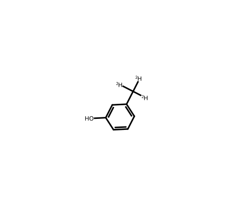 [2H]C([2H])([2H])c1cccc(O)c1